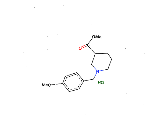 COC(=O)C1CCCN(Cc2ccc(OC)cc2)C1.Cl